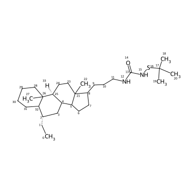 CC[C@H]1CC2C3CCC(CCCNC(=O)NSC(C)(C)C)C3(C)CC[C@@H]2C2(C)CCCCC12